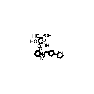 OC[C@H]1OC(O)[C@H](OOc2cccc3ncn(Cc4ccc(-c5cccnc5)cc4)c23)[C@@H](O)[C@@H]1O